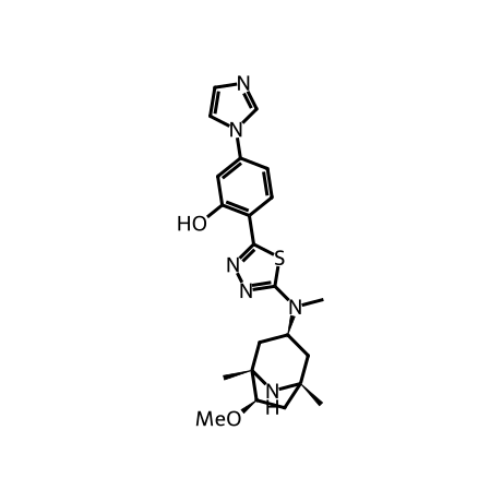 CO[C@@H]1C[C@@]2(C)C[C@H](N(C)c3nnc(-c4ccc(-n5ccnc5)cc4O)s3)C[C@]1(C)N2